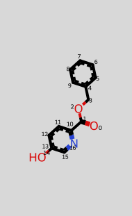 O=C(OCc1ccccc1)c1ccc(O)cn1